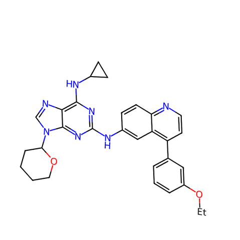 CCOc1cccc(-c2ccnc3ccc(Nc4nc(NC5CC5)c5ncn(C6CCCCO6)c5n4)cc23)c1